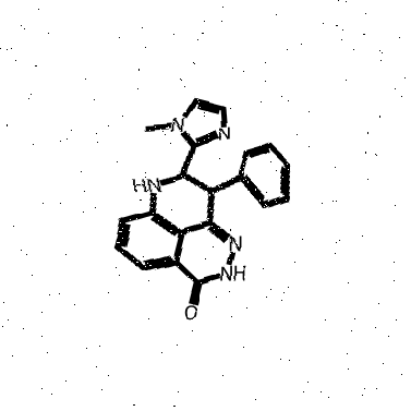 Cn1ccnc1C1Nc2cccc3c(=O)[nH]nc(c23)C1c1ccccc1